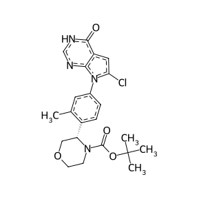 Cc1cc(-n2c(Cl)cc3c(=O)[nH]cnc32)ccc1[C@H]1COCCN1C(=O)OC(C)(C)C